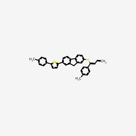 C=C/C=C(\Sc1ccc2c(c1)Cc1cc(-c3ccc(-c4ccc(C)cc4)s3)ccc1-2)c1ccc(C)cc1